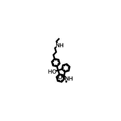 CCNCCCc1ccc(C(O)(c2ccccc2)c2ccccc2C(=O)NC)cc1